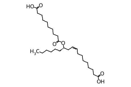 CCCCCC[C@H](C/C=C\CCCCCCCC(=O)O)OC(=O)CCCCCCCCC(=O)O